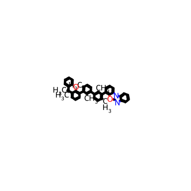 Cc1ccc(-c2ccc(C)c(-c3cccc4c3oc3nc5ccccc5n34)c2C)c(C)c1-c1cccc2c1Oc1ccccc1C2(C)C